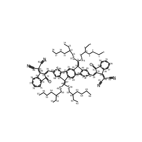 CCCCC(CC)CSC(SCC(CC)CCCC)=C1c2cc3c(cc2-c2sc(/C=C4\C(=O)c5ccccc5C4=C(C#N)C#N)cc21)C(=C(SCC(CC)CCCC)SCC(CC)CCCC)c1cc(/C=C2\C(=O)c4ccccc4C2=C(C#N)C#N)sc1-3